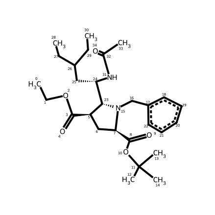 CCOC(=O)[C@@H]1C[C@H](C(=O)OC(C)(C)C)N(Cc2ccccc2)[C@H]1[C@H](CC(CC)CC)NC(C)=O